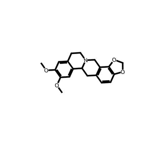 COc1cc2c(cc1OC)C1Cc3ccc4c(c3CN1CC2)OCO4